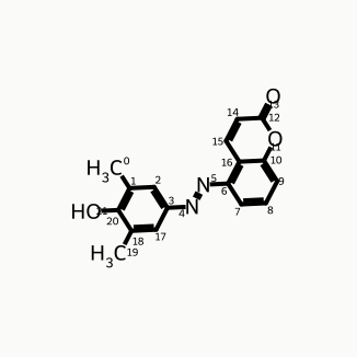 Cc1cc(N=Nc2cccc3oc(=O)ccc23)cc(C)c1O